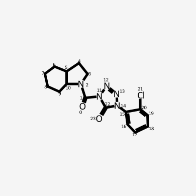 O=C(N1CCC2CCCCC21)n1nnn(-c2ccccc2Cl)c1=O